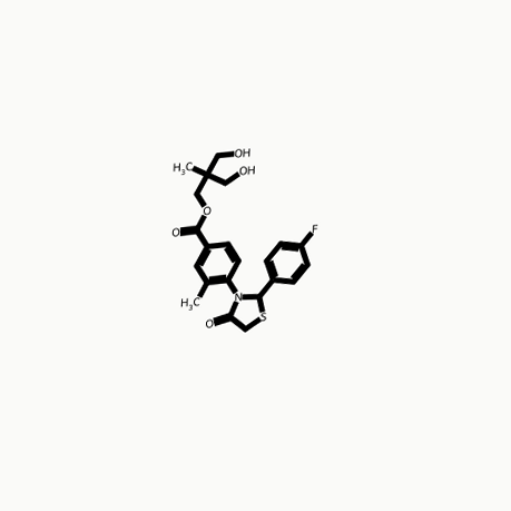 Cc1cc(C(=O)OCC(C)(CO)CO)ccc1N1C(=O)CSC1c1ccc(F)cc1